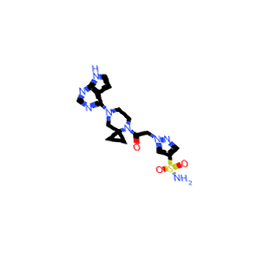 NS(=O)(=O)c1cnn(CC(=O)N2CCN(c3ncnc4[nH]ccc34)CC23CC3)c1